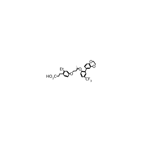 CCc1cc(OCC[C@H](C)Oc2ccc(C(F)(F)F)cc2-c2ccc3c(c2)OCCO3)ccc1CCC(=O)O